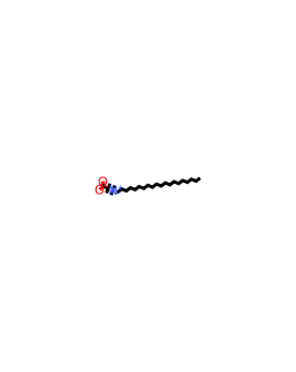 CCCCCCCCCCCCCCCCCCCC[N+](C)(C)C(C)(C)C(=O)[O-]